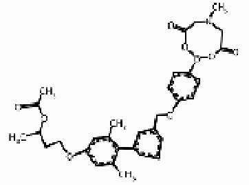 CC(=O)OC(C)CCOc1cc(C)c(-c2cccc(COc3ccc(B4OC(=O)CN(C)CC(=O)O4)cc3)c2)c(C)c1